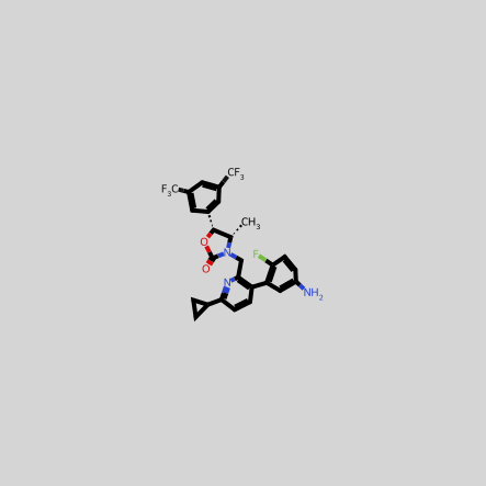 C[C@H]1[C@@H](c2cc(C(F)(F)F)cc(C(F)(F)F)c2)OC(=O)N1Cc1nc(C2CC2)ccc1-c1cc(N)ccc1F